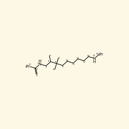 C=C(NCC(C)C(C)(C)CCCCCCNC(C)C)C(C)C